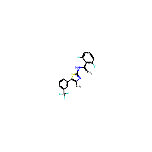 C=C(Nc1nc(C)c(-c2cccc(C(F)(F)F)c2)s1)c1c(F)cccc1F